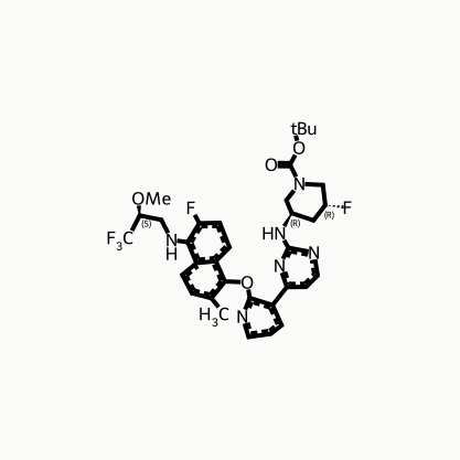 CO[C@@H](CNc1c(F)ccc2c(Oc3ncccc3-c3ccnc(N[C@@H]4C[C@@H](F)CN(C(=O)OC(C)(C)C)C4)n3)c(C)ccc12)C(F)(F)F